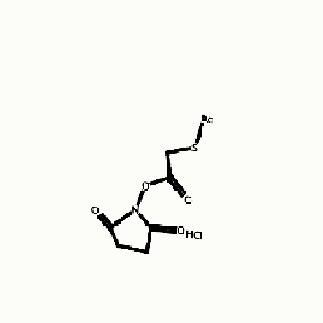 CC(=O)SCC(=O)ON1C(=O)CCC1=O.Cl